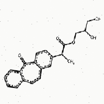 CC(C(=O)OCC(O)CO)c1ccc2c(=O)c3ccccc3ccc2c1